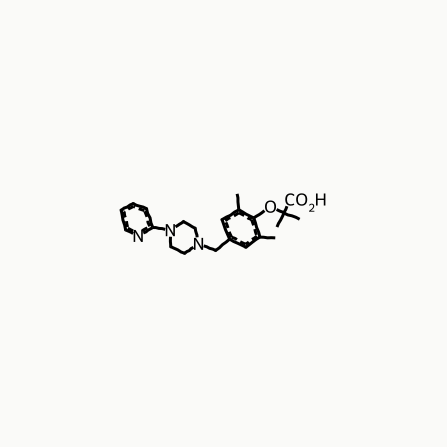 Cc1cc(CN2CCN(c3ccccn3)CC2)cc(C)c1OC(C)(C)C(=O)O